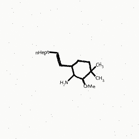 CCCCCCCC=CC1CCC(C)(C)C(OC)C1N